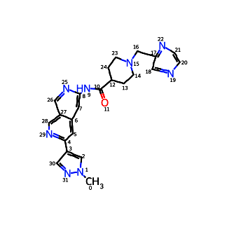 Cn1cc(-c2cc3cc(NC(=O)C4CCN(Cc5cnccn5)CC4)ncc3cn2)cn1